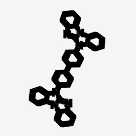 c1ccc2c(c1)nc1n(-c3ccc(-c4ccc(-n5c6ccccc6n6c7ccccc7nc56)cc4)cc3)c3ccccc3n21